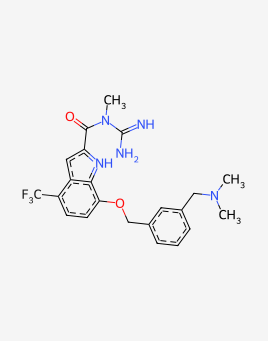 CN(C)Cc1cccc(COc2ccc(C(F)(F)F)c3cc(C(=O)N(C)C(=N)N)[nH]c23)c1